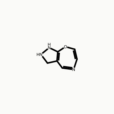 C1=COC2=C(C=N1)CNN2